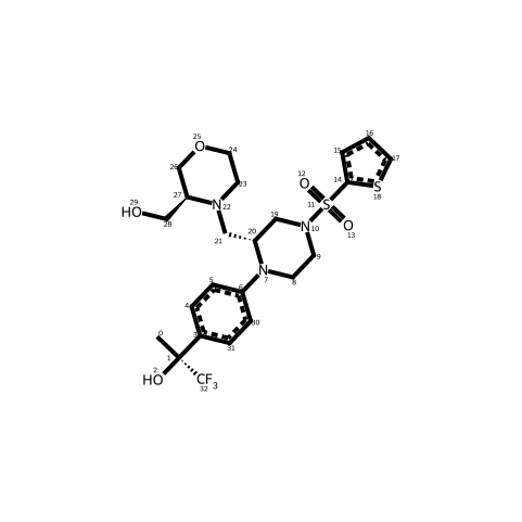 C[C@](O)(c1ccc(N2CCN(S(=O)(=O)c3cccs3)C[C@H]2CN2CCOC[C@@H]2CO)cc1)C(F)(F)F